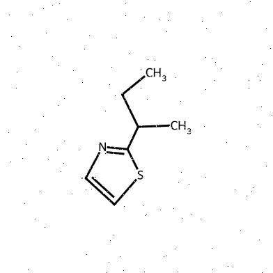 CCC(C)c1n[c]cs1